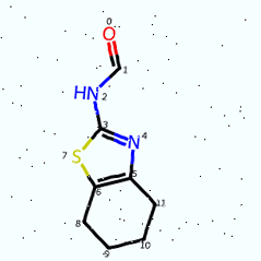 O=CNc1nc2c(s1)CCCC2